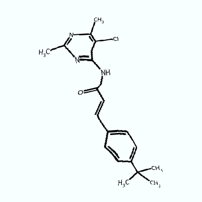 Cc1nc(C)c(Cl)c(NC(=O)/C=C/c2ccc(C(C)(C)C)cc2)n1